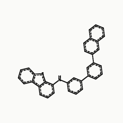 c1cc(Nc2cccc3c2sc2ccccc23)cc(-c2cccc(-c3ccc4ccccc4c3)c2)c1